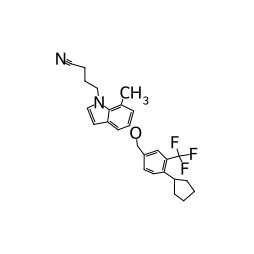 Cc1cc(OCc2ccc(C3CCCC3)c(C(F)(F)F)c2)cc2ccn(CCCC#N)c12